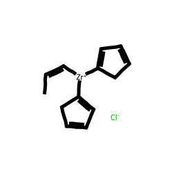 C/C=[CH]\[Zr+]([C]1=CC=CC1)[C]1=CC=CC1.[Cl-]